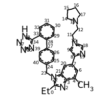 CCc1nc2c(C)cc(-c3cn(CCN4CCCC4)cn3)cc2n1Cc1ccc(-c2ccccc2-c2nnn[nH]2)cc1